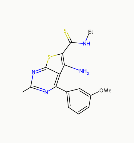 CCNC(=S)c1sc2nc(C)nc(-c3cccc(OC)c3)c2c1N